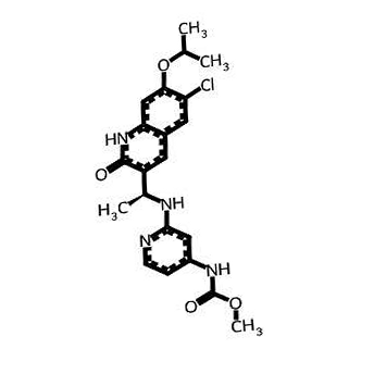 COC(=O)Nc1ccnc(N[C@@H](C)c2cc3cc(Cl)c(OC(C)C)cc3[nH]c2=O)c1